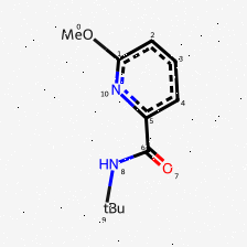 COc1cccc(C(=O)NC(C)(C)C)n1